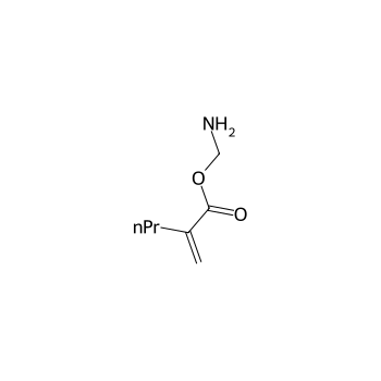 C=C(CCC)C(=O)OCN